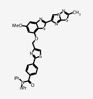 CCCN(C(=O)c1ccc(-c2nc(COc3cc(OC)cc4nc(-c5cn6nc(C)sc6n5)sc34)cs2)cc1)C(C)C